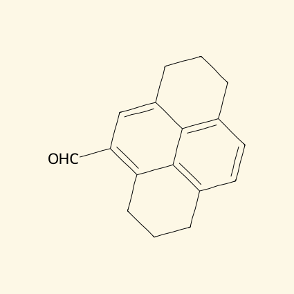 O=Cc1cc2c3c(ccc4c3c1CCC4)CCC2